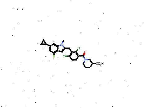 Cn1c(Cc2c(Cl)ccc(C(=O)N3CCCC(C(=O)O)C3)c2Cl)cc2c(F)cc(C3CC3)cc21